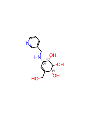 OCC1=C[C@H](NCc2cccnc2)[C@H](O)C(O)[C@@H]1O